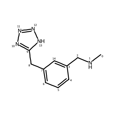 CNCc1cccc(Cc2nnn[nH]2)c1